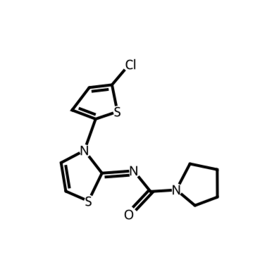 O=C(/N=c1\sccn1-c1ccc(Cl)s1)N1CCCC1